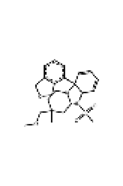 COCC1(C)CCN(C2(c3cccc4c3COC4)C=CC=CC2NS(C)(=O)=O)CC1